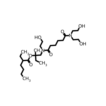 CCCCC(CC)C(=O)OC(C)(CC)CN(CCO)C(=O)CCCCC(=O)N(CCO)CCO